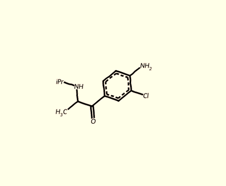 CC(C)NC(C)C(=O)c1ccc(N)c(Cl)c1